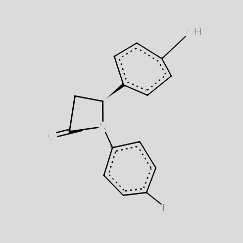 O=C1C[C@@H](c2ccc(O)cc2)N1c1ccc(F)cc1